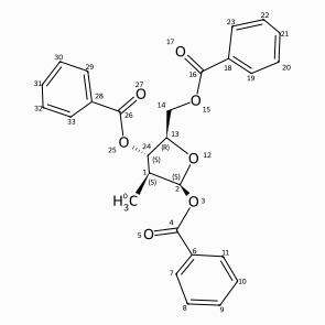 C[C@@H]1[C@H](OC(=O)c2ccccc2)O[C@H](COC(=O)c2ccccc2)[C@H]1OC(=O)c1ccccc1